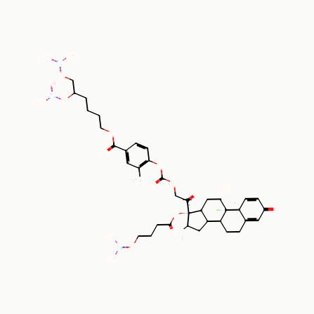 COc1cc(C(=O)OCCCCC(CON(O)O)ON(O)O)ccc1OC(=O)OCC(=O)[C@@]1(OC(=O)CCCON(O)O)C(C)CC2C3CCC4=CC(=O)C=C[C@]4(C)[C@@]3(F)[C@@H](O)C[C@@]21C